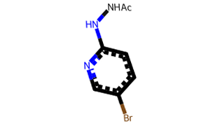 CC(=O)NNc1ccc(Br)cn1